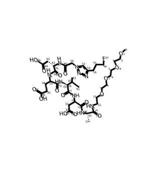 COCCOCCOCCOCCNC(=O)[C@H](C)NC(=O)C(CC(=O)O)NC(=O)[C@@H](NC(=O)C(CCC(=O)O)NC(=O)[C@H](CC(=O)O)NC(=O)Cn1cc(CCCF)nn1)C(C)C